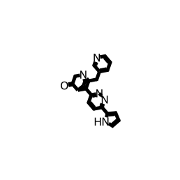 O=C1CN2CCC1C(c1ccc(-c3ccc[nH]3)nn1)C2Cc1cccnc1